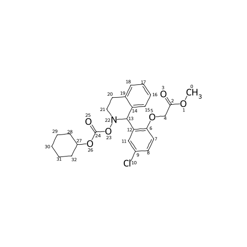 COC(=O)COc1ccc(Cl)cc1C1c2ccccc2CCN1OC(=O)OC1CCCCC1